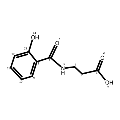 O=C(O)CCNC(=O)c1ccccc1O